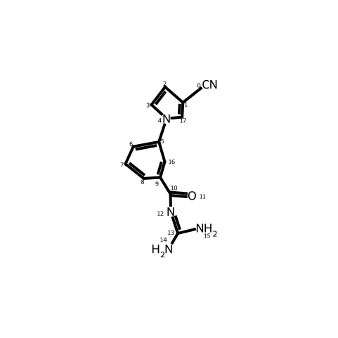 N#Cc1ccn(-c2cccc(C(=O)N=C(N)N)c2)c1